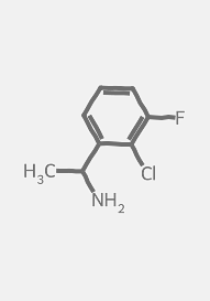 CC(N)c1cccc(F)c1Cl